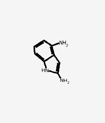 Nc1cc2c(N)cccc2[nH]1